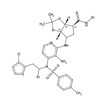 CCNC(=O)[C@H]1CC(Nc2nccc(N(C(CC)Cc3sccc3Cl)S(=O)(=O)c3ccc(C)cc3)c2[N+](=O)[O-])[C@@H]2OC(C)(C)O[C@H]12